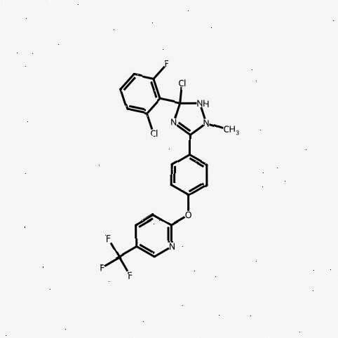 CN1NC(Cl)(c2c(F)cccc2Cl)N=C1c1ccc(Oc2ccc(C(F)(F)F)cn2)cc1